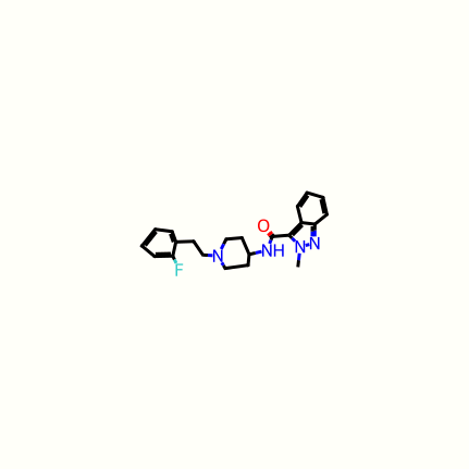 Cn1nc2ccccc2c1C(=O)NC1CCN(CCc2ccccc2F)CC1